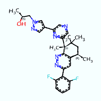 C[C@H](O)Cn1cc(-c2cncc([C@@]3(C)c4nnc(-c5c(F)cccc5F)cc4[C@H](C)CC3(C)C)n2)cn1